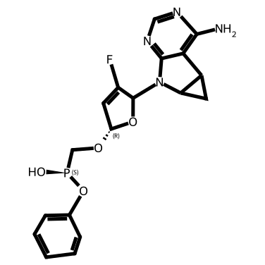 Nc1ncnc2c1C1CC1N2C1O[C@H](OC[P@](O)Oc2ccccc2)C=C1F